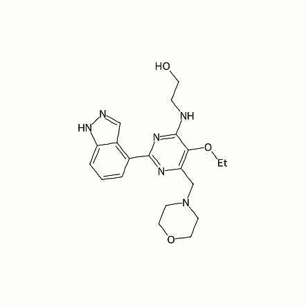 CCOc1c(CN2CCOCC2)nc(-c2cccc3[nH]ncc23)nc1NCCO